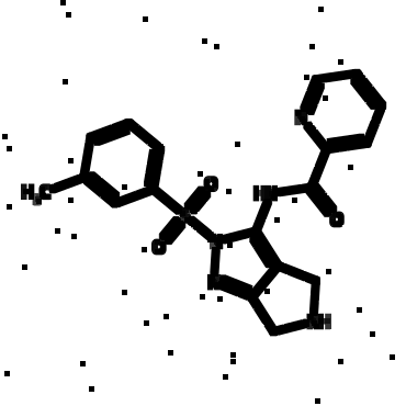 Cc1cccc(S(=O)(=O)n2nc3c(c2NC(=O)c2ccccn2)CNC3)c1